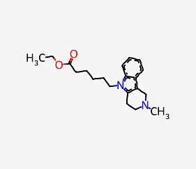 CCOC(=O)CCCCCn1c2c(c3ccccc31)CN(C)CC2